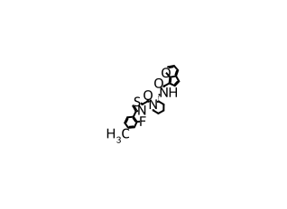 Cc1ccc(-c2csc(C(=O)N3CCCC[C@H]3CNC(=O)c3ccc4cccoc3-4)n2)c(F)c1